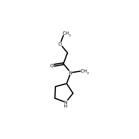 COCC(=O)N(C)C1CCNC1